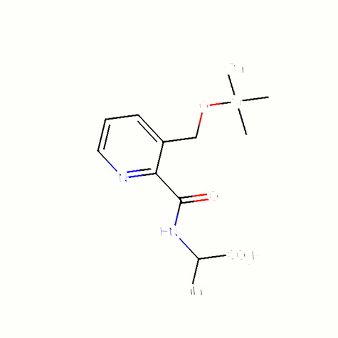 CC(C)C(NC(=O)c1ncccc1CO[Si](C)(C)C(C)(C)C)C(=O)O